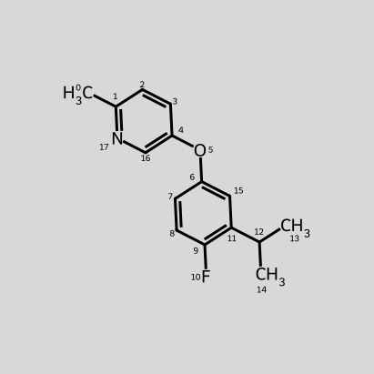 Cc1ccc(Oc2ccc(F)c(C(C)C)c2)cn1